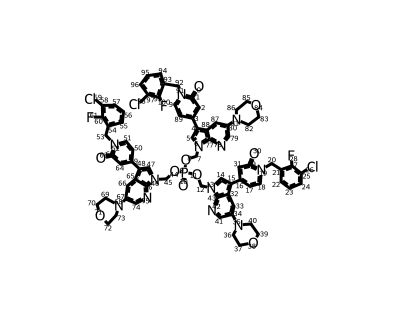 O=c1cc(-c2cn(COP(=O)(OCn3cc(-c4ccn(Cc5cccc(Cl)c5F)c(=O)c4)c4cc(N5CCOCC5)cnc43)OCn3cc(-c4ccn(Cc5cccc(Cl)c5F)c(=O)c4)c4cc(N5CCOCC5)cnc43)c3ncc(N4CCOCC4)cc23)ccn1Cc1cccc(Cl)c1F